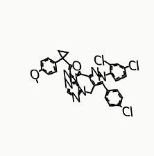 COc1ccc(C2(c3nnc(-c4nn(-c5ccc(Cl)cc5Cl)c(-c5ccc(Cl)cc5)c4Cn4cncn4)o3)CC2)cc1